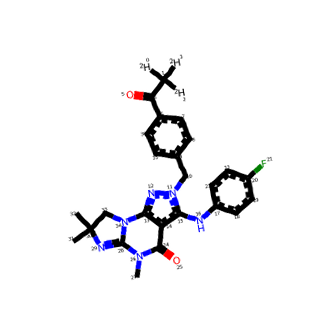 [2H]C([2H])([2H])C(=O)c1ccc(Cn2nc3c(c2Nc2ccc(F)cc2)C(=O)N(C)C2=NC(C)(C)CN23)cc1